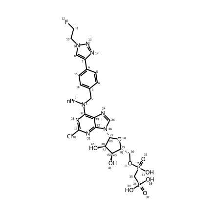 CCCN(Cc1ccc(-c2cn(CCF)nn2)cc1)c1nc(Cl)nc2c1ncn2[C@@H]1O[C@H](COP(=O)(O)CP(=O)(O)O)[C@@H](O)[C@H]1O